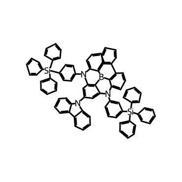 c1ccc(-c2cccc3c2B2c4ccccc4N(c4ccc([Si](c5ccccc5)(c5ccccc5)c5ccccc5)cc4)c4cc(-n5c6ccccc6c6ccccc65)cc(c42)N3c2cccc([Si](c3ccccc3)(c3ccccc3)c3ccccc3)c2)cc1